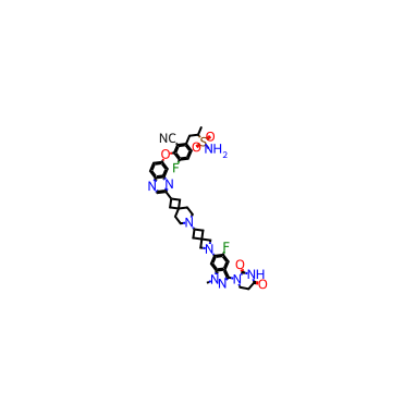 CC(Cc1ccc(F)c(Oc2ccc3ncc(C4CC5(CCN(C6CC7(C6)CN(c6cc8c(cc6F)c(N6CCC(=O)NC6=O)nn8C)C7)CC5)C4)nc3c2)c1C#N)S(N)(=O)=O